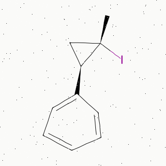 C[C@]1(I)C[C@@H]1c1ccccc1